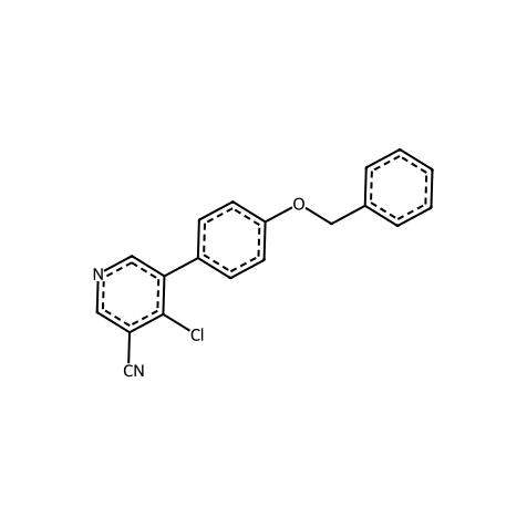 N#Cc1cncc(-c2ccc(OCc3ccccc3)cc2)c1Cl